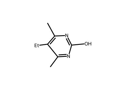 [CH2]Cc1c(C)nc(O)nc1C